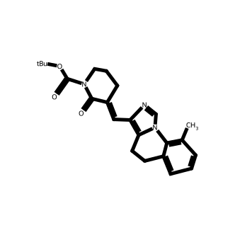 Cc1cccc2c1-n1cnc(/C=C3\CCCN(C(=O)OC(C)(C)C)C3=O)c1CC2